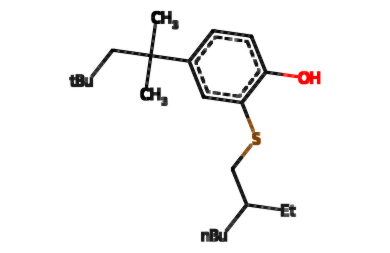 CCCCC(CC)CSc1cc(C(C)(C)CC(C)(C)C)ccc1O